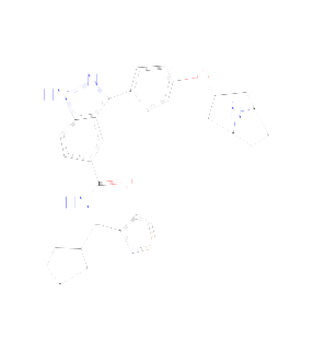 CN1C2CCC1CC(Oc1ccc(-c3n[nH]c4ccc(C(=O)N[C@H](c5ccsc5)C5CCCC5)cc34)cc1)C2